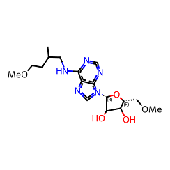 COCCC(C)CNc1ncnc2c1ncn2[C@@H]1O[C@H](COC)C(O)C1O